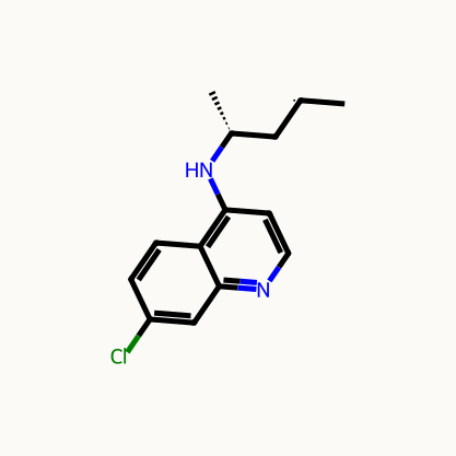 C[CH]C[C@@H](C)Nc1ccnc2cc(Cl)ccc12